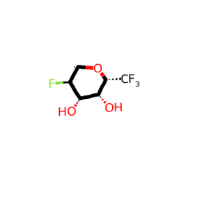 O[C@@H]1[C@H](O)[C@@H](F)[CH]O[C@@H]1C(F)(F)F